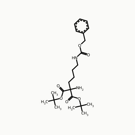 CC(C)(C)OC(=O)C(N)(CCCCNC(=O)OCc1ccccc1)C(=O)OC(C)(C)C